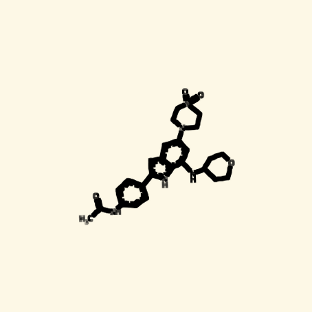 CC(=O)Nc1ccc(-c2cc3cc(N4CCS(=O)(=O)CC4)cc(NC4CCOCC4)c3[nH]2)cc1